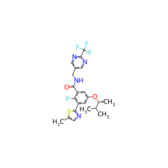 Cc1cnc(-c2cc(O[C@@H](C)C(C)C)cc(C(=O)NCc3cnc(C(F)(F)F)nc3)c2F)s1